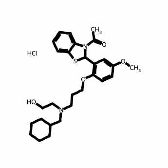 COc1ccc(OCCCN(CCO)CC2CCCCC2)c(C2Sc3ccccc3N2C(C)=O)c1.Cl